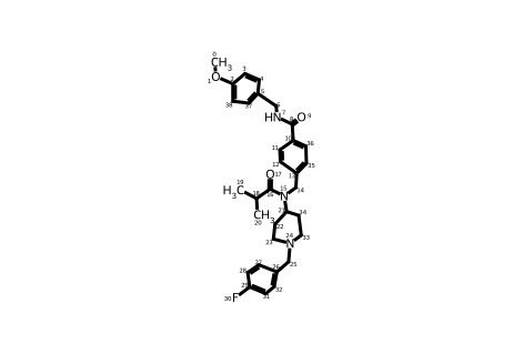 COc1ccc(CNC(=O)c2ccc(CN(C(=O)C(C)C)C3CCN(Cc4ccc(F)cc4)CC3)cc2)cc1